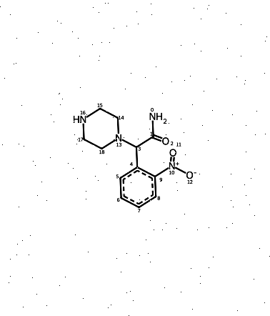 NC(=O)C(c1ccccc1[N+](=O)[O-])N1CCNCC1